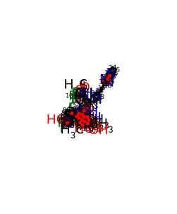 COC(=O)N[C@H](C(=O)N[C@@H](Cc1ccc(C#Cc2cnc(N3CC4CCC(C3)N4C3COC3)nc2)cc1)[C@H](CN(Cc1c(F)cc(-c2ccn(C(F)F)n2)cc1F)NC(=O)[C@@H](NC(=O)OC)C(C)(C)C(F)(F)F)OC(=O)CC(C)(C)c1c(CC(=O)Nc2cccc(C(=O)O)c2)cc(C)cc1OP(=O)(O)O)C(C)(C)C(F)(F)F